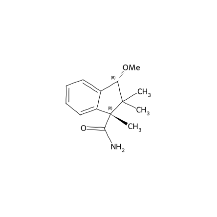 CO[C@H]1c2ccccc2[C@@](C)(C(N)=O)C1(C)C